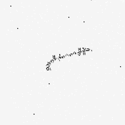 CCC(=O)NCCNC(=O)CCOCCOCCOCCOCCNC(=O)CCNc1ccc(-c2nc3ccc(C)cc3s2)cc1